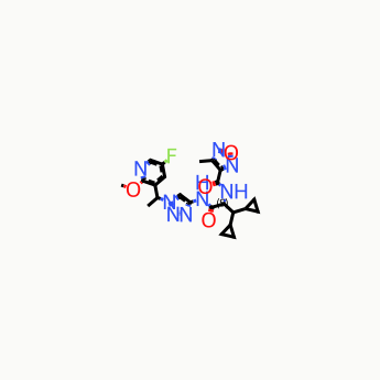 COc1ncc(F)cc1C(C)n1cc(NC(=O)[C@@H](NC(=O)c2nonc2C)C(C2CC2)C2CC2)nn1